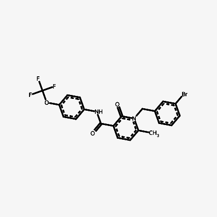 Cc1ccc(C(=O)Nc2ccc(OC(F)(F)F)cc2)c(=O)n1Cc1cccc(Br)c1